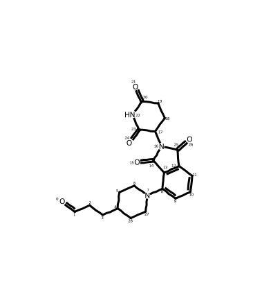 O=CCCC1CCN(c2cccc3c2C(=O)N(C2CCC(=O)NC2=O)C3=O)CC1